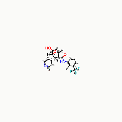 Cc1c(NC(=O)[C@]23C[C@@]2(c2ccnc(F)c2)[C@H]2O[C@@H]3C[C@@H]2O)cccc1C(F)(F)F